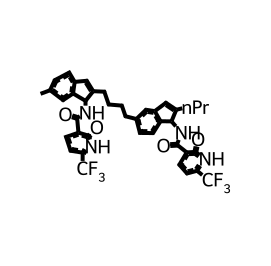 CCCC1=Cc2cc(CCCCC3=Cc4ccc(C)cc4C3NC(=O)c3ccc(C(F)(F)F)[nH]c3=O)ccc2C1NC(=O)c1ccc(C(F)(F)F)[nH]c1=O